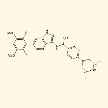 COc1cc(OC)c(F)c(-c2cnc3c(NC(O)c4ccc(N5C[C@@H](C)N[C@@H](C)C5)cc4)n[nH]c3c2)c1F